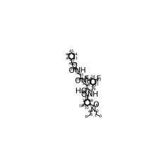 CCCN(CCC)C(=O)c1cc(C)cc(C(=O)N[C@@H](Cc2cc(F)cc(F)c2)[C@H](O)CCNC(=O)CCNC(=O)OCc2ccccc2)c1